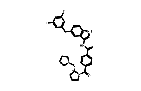 O=C(Nc1n[nH]c2ccc(Cc3cc(F)cc(F)c3)cc12)c1ccc(C(=O)N2CCC[C@@H]2CN2CCCC2)cc1